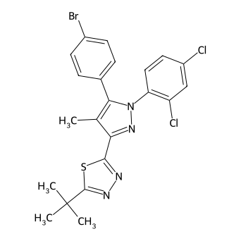 Cc1c(-c2nnc(C(C)(C)C)s2)nn(-c2ccc(Cl)cc2Cl)c1-c1ccc(Br)cc1